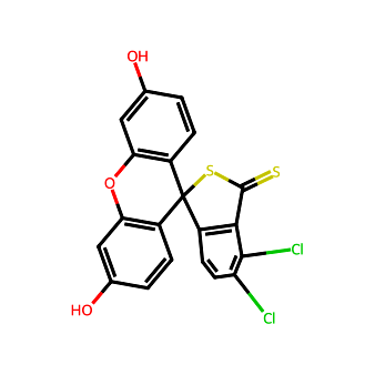 Oc1ccc2c(c1)Oc1cc(O)ccc1C21SC(=S)c2c1ccc(Cl)c2Cl